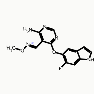 CO/N=C/c1c(N)ncnc1Oc1cc2cc[nH]c2cc1F